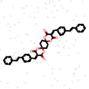 O=C1OC2(CCC3(CC2)OC(=O)C(=Cc2ccc(/C=C/c4ccccc4)cc2)C(=O)O3)OC(=O)C1=Cc1ccc(/C=C/c2ccccc2)cc1